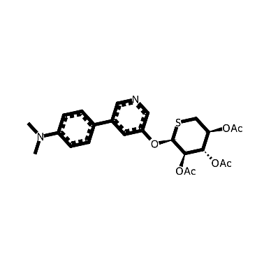 CC(=O)O[C@@H]1[C@@H](OC(C)=O)[C@@H](Oc2cncc(-c3ccc(N(C)C)cc3)c2)SC[C@H]1OC(C)=O